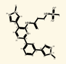 C=C(CCNS(C)(=O)=O)Nc1nc(-c2cccc(-c3cnn(C)c3)c2)ncc1-c1cnn(C)c1